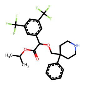 CC(C)OC(=O)C(OCC1(c2ccccc2)CCNCC1)c1cc(C(F)(F)F)cc(C(F)(F)F)c1